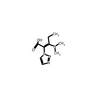 CCC(=C(C(=O)O)n1ccnn1)N(C)C